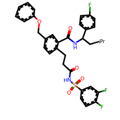 CC(C)CC(NC(=O)c1cc(COc2ccccc2)ccc1CCC(=O)NS(=O)(=O)c1ccc(F)c(F)c1)c1ccc(F)cc1